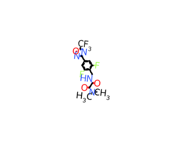 CN(C)C(=O)C(=O)NCc1c(F)cc(-c2noc(C(F)(F)F)n2)cc1F